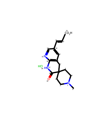 CN1CCC2(CC1)Cc1cc(C=CC(=O)O)cnc1NC2=O.Cl